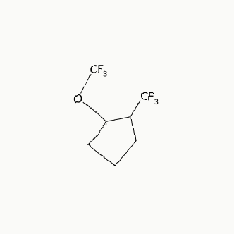 FC(F)(F)O[C]1CCCC1C(F)(F)F